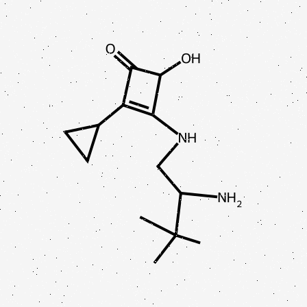 CC(C)(C)C(N)CNC1=C(C2CC2)C(=O)C1O